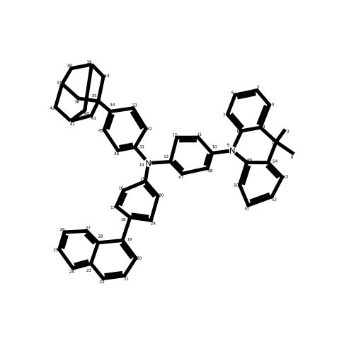 CC1(C)c2ccccc2N(c2ccc(N(c3ccc(-c4cccc5ccccc45)cc3)c3ccc(C45CC6CC(CC(C6)C4)C5)cc3)cc2)c2ccccc21